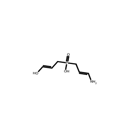 NC=CCP(=O)(O)CC=CO